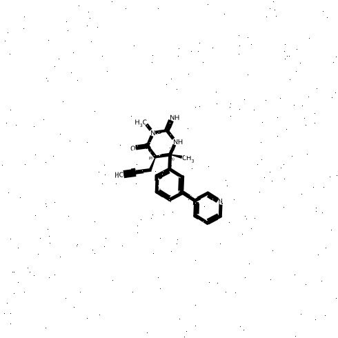 C#CC[C@H]1C(=O)N(C)C(=N)N[C@]1(C)c1cccc(-c2cccnc2)c1